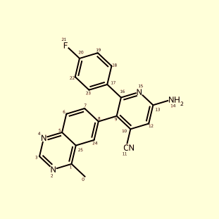 Cc1ncnc2ccc(-c3c(C#N)cc(N)nc3-c3ccc(F)cc3)cc12